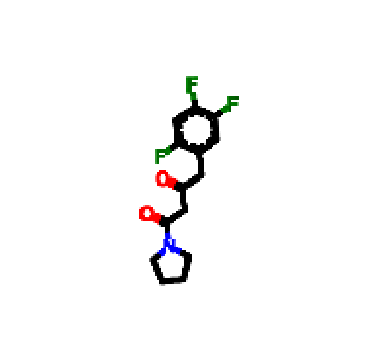 O=C(CC(=O)N1CCCC1)Cc1cc(F)c(F)cc1F